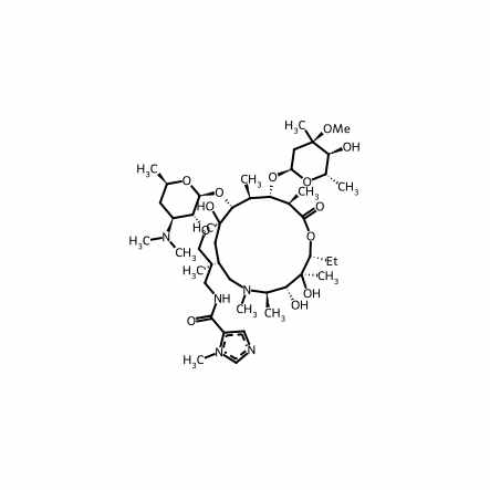 CC[C@H]1OC(=O)[C@H](C)[C@@H](O[C@H]2C[C@@](C)(OC)[C@@H](O)[C@H](C)O2)[C@H](C)[C@@H](O[C@@H]2O[C@H](C)C[C@H](N(C)C)[C@H]2OCCCNC(=O)c2cncn2C)[C@](C)(O)C[C@@H](C)CN(C)[C@H](C)[C@@H](O)[C@]1(C)O